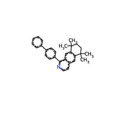 CC1(C)CCC(C)(C)c2cc3c(-c4ccc(-c5ccccc5)cc4)nccc3cc21